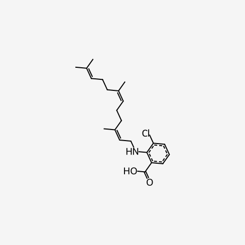 CC(C)=CCCC(C)=CCCC(C)=CCNc1c(Cl)cccc1C(=O)O